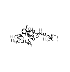 CC(=O)[C@]12C[C@H]1[C@@](C)(c1cc(B3OC(C)(C)C(C)(C)O3)ccc1F)N=C(OC(=O)NCOCC[Si](C)(C)C)S2